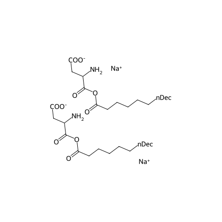 CCCCCCCCCCCCCCCC(=O)OC(=O)C(N)CC(=O)[O-].CCCCCCCCCCCCCCCC(=O)OC(=O)C(N)CC(=O)[O-].[Na+].[Na+]